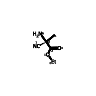 CCOC(=O)[C@](C)(N)C#N